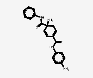 Nc1ccc(NC(=O)C2=CCC(N)(C(=O)Nc3ccccc3)C=C2)cc1